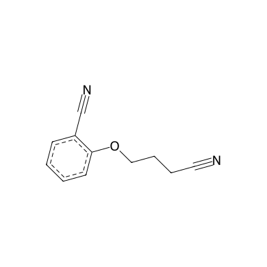 N#CCCCOc1ccccc1C#N